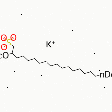 CCCCCCCCCCCCCCCCCCCCCCCCCC(CS(=O)(=O)[O-])OC(C)=O.[K+]